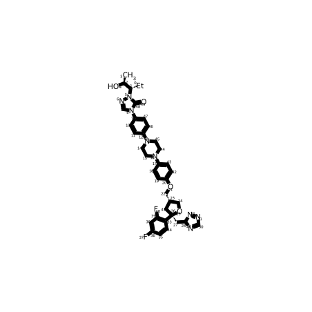 CC[C@@H]([C@H](C)O)n1ncn(-c2ccc(N3CCN(c4ccc(OC[C@@H]5CO[C@@](CC6N=CN=N6)(c6ccc(F)cc6F)C5)cc4)CC3)cc2)c1=O